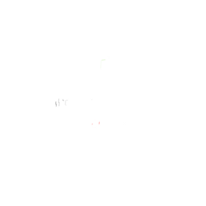 CC(C)c1occc1F